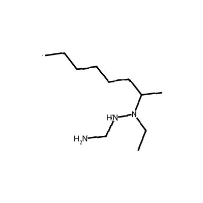 [CH2]CCCCCC(C)N(CC)NCN